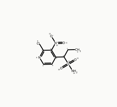 CCC(c1ccnc(Cl)c1[N+](=O)[O-])S(N)(=O)=O